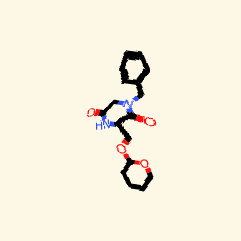 O=C1CN(Cc2ccccc2)C(=O)C(COC2CCCCO2)N1